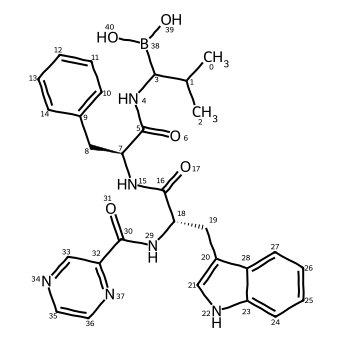 CC(C)C(NC(=O)[C@H](Cc1ccccc1)NC(=O)[C@H](Cc1c[nH]c2ccccc12)NC(=O)c1cnccn1)B(O)O